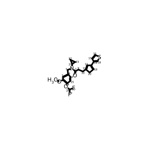 COc1cc(CN(C(=O)CCC2=CC(c3ccsc3)=CC2)C2CC2)ccc1OC(F)F